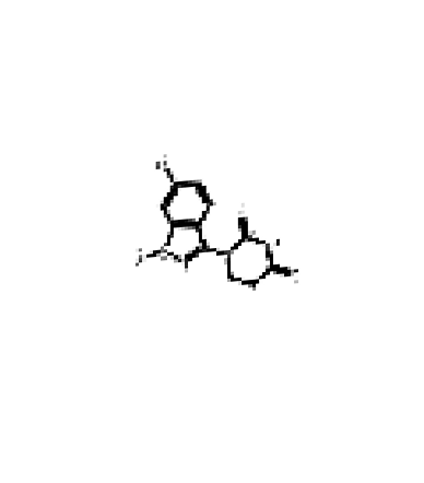 CCc1ccc2c(N3CCC(=O)NC3=O)nn(C)c2c1